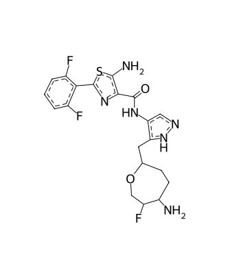 Nc1sc(-c2c(F)cccc2F)nc1C(=O)Nc1cn[nH]c1CC1CCC(N)C(F)CO1